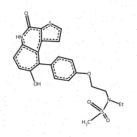 CCN(CCOc1ccc(-c2c(O)ccc3[nH]c(=O)c4sccc4c23)cc1)S(C)(=O)=O